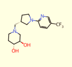 O[C@@H]1CCN(C[C@@H]2CCN(c3ccc(C(F)(F)F)cn3)C2)C[C@H]1O